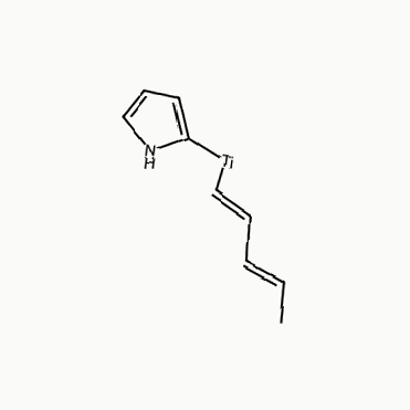 CC=CC=[CH][Ti][c]1ccc[nH]1